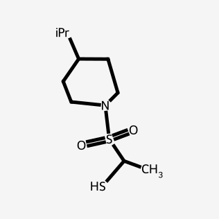 CC(C)C1CCN(S(=O)(=O)C(C)S)CC1